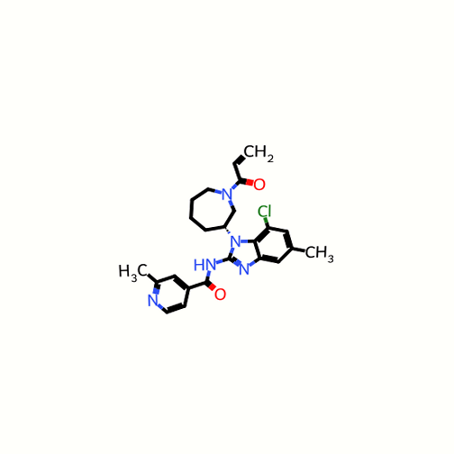 C=CC(=O)N1CCCC[C@@H](n2c(NC(=O)c3ccnc(C)c3)nc3cc(C)cc(Cl)c32)C1